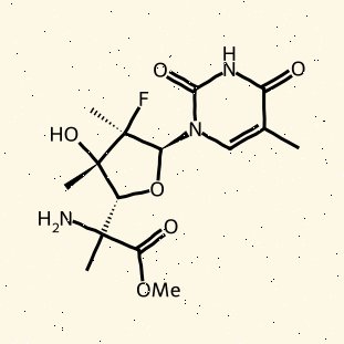 COC(=O)C(C)(N)[C@H]1O[C@H](n2cc(C)c(=O)[nH]c2=O)[C@](C)(F)[C@@]1(C)O